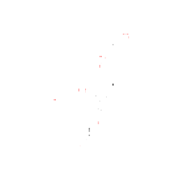 C1OC1COC12CC3CC(OCC4CO4)(C1)CC(OCC1CO1)(C3)C2